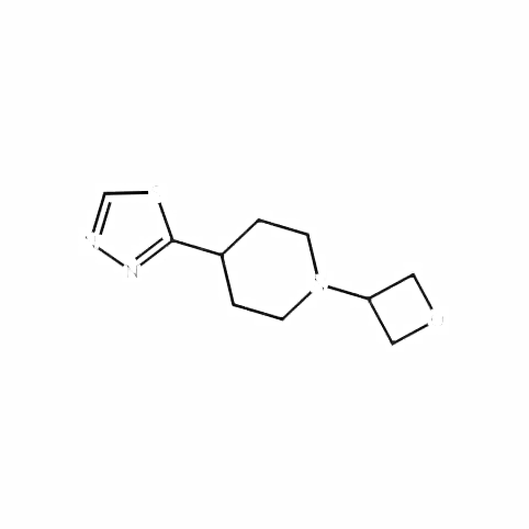 c1nnc(C2CCN(C3COC3)CC2)s1